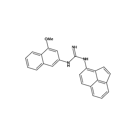 COc1cc(NC(=N)Nc2ccc3cccc4c3c2C=C4)cc2ccccc12